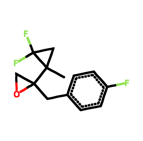 CC1(C2(Cc3ccc(F)cc3)CO2)CC1(F)F